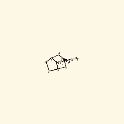 BN1C2CCC1CN(C(C)C)C2